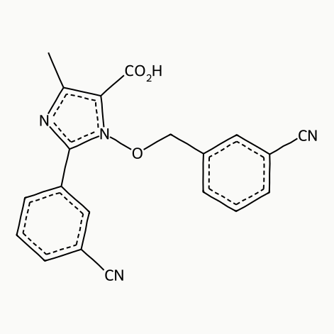 Cc1nc(-c2cccc(C#N)c2)n(OCc2cccc(C#N)c2)c1C(=O)O